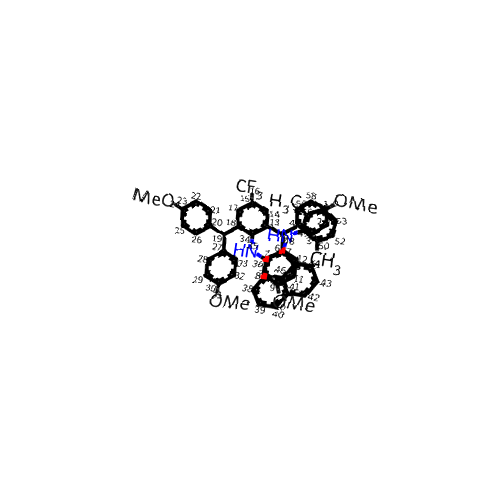 COc1ccc(C(c2ccc(OC)cc2)c2cc(C(F)(F)F)cc(C(c3ccc(OC)cc3)c3ccc(OC)cc3)c2NC2c3cccc4cccc(c34)C2Nc2c(C)cccc2C)cc1